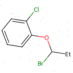 CCC(Br)Oc1ccccc1Cl